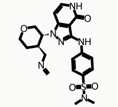 C=NC[C@H]1CCOC[C@@H]1n1nc(Nc2ccc(S(=O)(=O)N(C)C)cc2)c2c(=O)[nH]ccc21